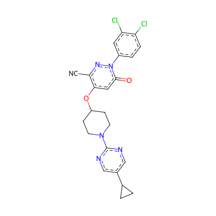 N#Cc1nn(-c2ccc(Cl)c(Cl)c2)c(=O)cc1OC1CCN(c2ncc(C3CC3)cn2)CC1